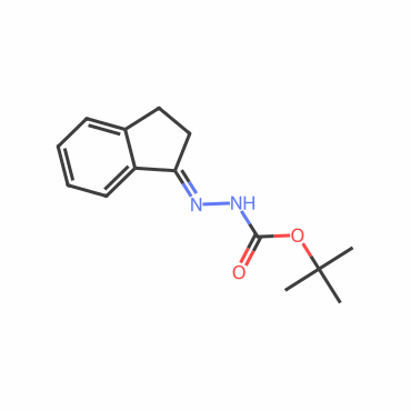 CC(C)(C)OC(=O)NN=C1CCc2ccccc21